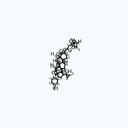 [2H]C([2H])([2H])C(C)(CC(=O)O[C@H]1CC[C@]2(C)[C@H]3CC[C@@H]4[C@H]5[C@H](C6(C)CC6)CC[C@]5(C(=O)N5CCN(CC)CC5)CC[C@@]4(C)[C@]3(C)CC[C@H]2C1(C)C)C(=O)O